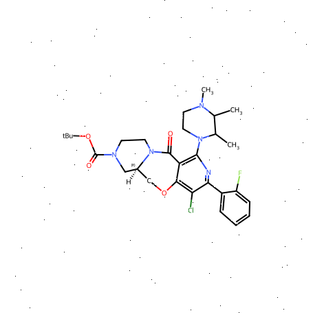 CC1C(C)N(c2nc(-c3ccccc3F)c(Cl)c3c2C(=O)N2CCN(C(=O)OC(C)(C)C)C[C@@H]2CO3)CCN1C